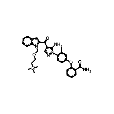 Cc1cc(Oc2ccccc2C(N)=O)ccc1-n1ncc(C(=O)c2cc3ccccc3n2COCC[Si](C)(C)C)c1N